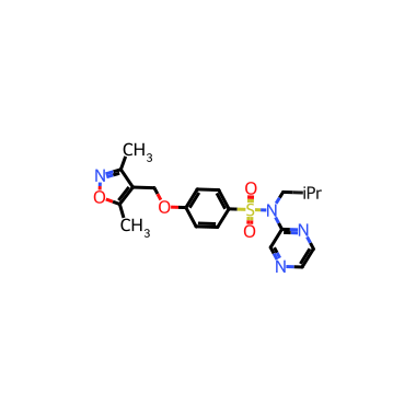 Cc1noc(C)c1COc1ccc(S(=O)(=O)N(CC(C)C)c2cnccn2)cc1